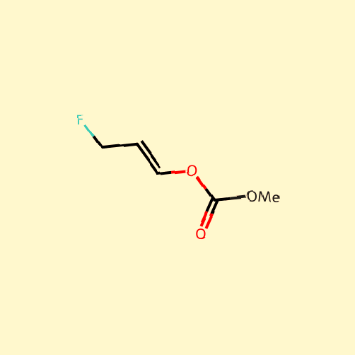 COC(=O)O/C=C/CF